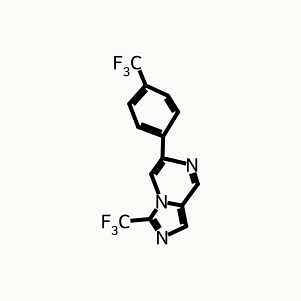 FC(F)(F)c1ccc(-c2cn3c(C(F)(F)F)ncc3cn2)cc1